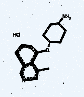 Cc1cncc2cccc(O[C@H]3CC[C@H](N)CC3)c12.Cl